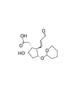 O=CC=C[C@@H]1[C@@H](CC(=O)O)[C@@H](O)C[C@H]1OC1CCCCO1